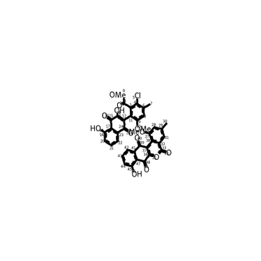 COC(=O)c1c(Cl)c(C)cc(OC)c1C1=C(O)C(=O)c2c(O)cccc2C1=O.COc1cc(C)cc2c(=O)oc3c(c12)C(=O)c1cccc(O)c1C3=O